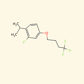 CC(C)c1ccc(OCCCC(F)(F)F)cc1F